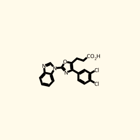 O=C(O)CCc1oc(-n2cnc3ccccc32)nc1-c1ccc(Cl)c(Cl)c1